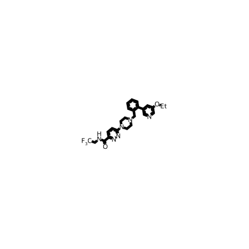 CCOc1cncc(-c2ccccc2CN2CCN(c3ccc(C(=O)NCC(F)(F)F)nn3)CC2)c1